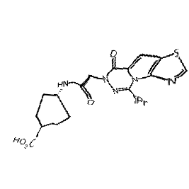 CC(C)c1nn(CC(=O)N[C@H]2CC[C@H](C(=O)O)CC2)c(=O)c2cc3scnc3n12